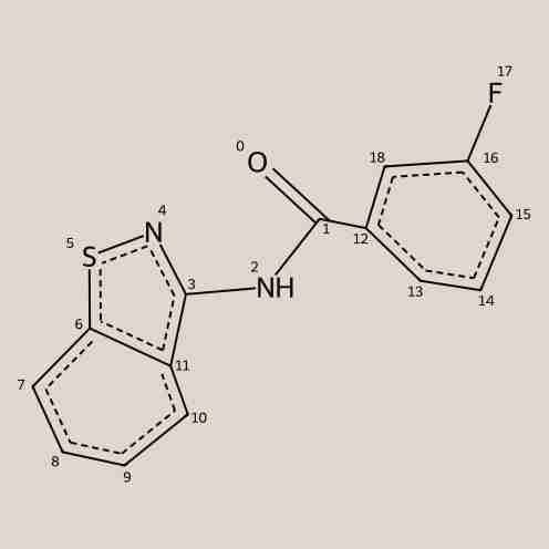 O=C(Nc1nsc2ccccc12)c1cccc(F)c1